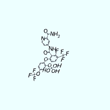 NC(=O)c1cc(NC(=O)c2c(Oc3ccc(OC(F)(F)F)cc3OC(O)(O)O)ccc(C(F)(F)F)c2F)ccn1